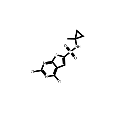 CC1(NS(=O)(=O)c2cc3c(Cl)nc(Cl)nc3s2)CC1